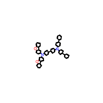 c1ccc(-c2ccc(N(c3ccc(-c4ccccc4)cc3)c3ccc(-c4ccc(N(c5ccc6c(c5)oc5ccccc56)c5ccc6oc7ccccc7c6c5)cc4)cc3)cc2)cc1